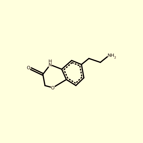 NCCc1ccc2c(c1)NC(=O)CO2